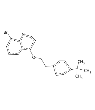 CC(C)(C)c1ccc(CCOc2ccnc3c(Br)cccc23)cc1